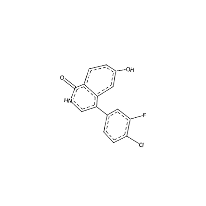 O=c1[nH]cc(-c2ccc(Cl)c(F)c2)c2cc(O)ccc12